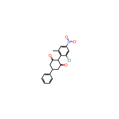 Cc1cc([N+](=O)[O-])cc(Cl)c1C1C(=O)CC(c2ccccc2)CC1=O